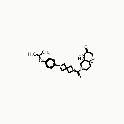 CC(C)Oc1ccc(N2CC3(CN(C(=O)N4CC[C@@H]5OCC(=O)N[C@@H]5C4)C3)C2)cc1